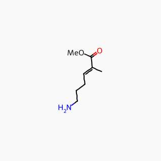 COC(=O)C(C)=CCCCN